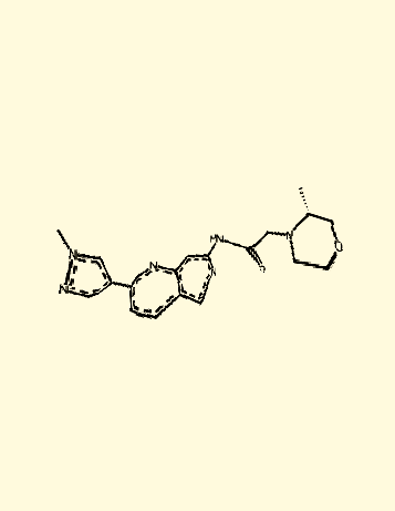 C[C@@H]1COCCN1CC(=O)Nc1cc2nc(-c3cnn(C)c3)ccc2cn1